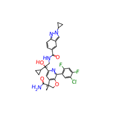 C[C@]1(C(N)=O)COc2c1cc([C@@](O)(CNC(=O)c1ccc3nn(C4CC4)cc3c1)C1CC1)nc2-c1cc(Cl)c(F)cc1F